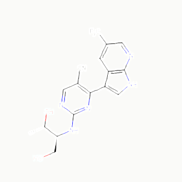 C[C@H](O)[C@H](CO)Nc1ncc(C#N)c(-c2c[nH]c3ncc(C(F)(F)F)cc23)n1